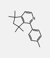 Cc1ccc(-c2nccc3c2C(C)(C)CC3(C)C)cc1